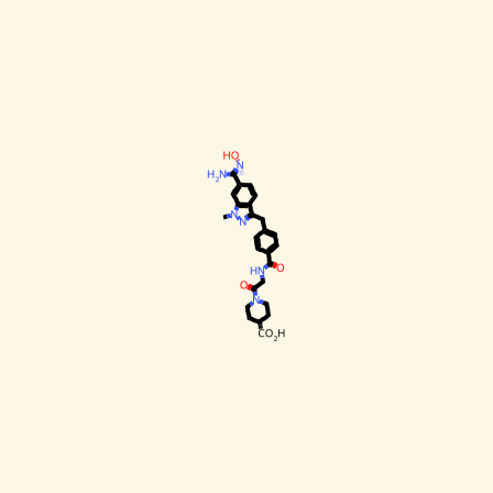 Cn1nc(Cc2ccc(C(=O)NCC(=O)N3CCC(C(=O)O)CC3)cc2)c2ccc(/C(N)=N/O)cc21